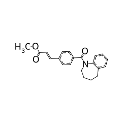 COC(=O)C=Cc1ccc(C(=O)N2CCCCc3ccccc32)cc1